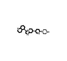 CN1CCN(c2ccc(-c3ccn4c(-c5cccc6ncccc56)cnc4c3)cn2)CC1